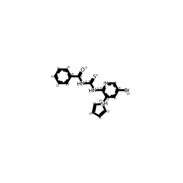 O=C(NC(=S)Nc1ncc(Br)cc1[SH]1C=CC=C1)c1ccccc1